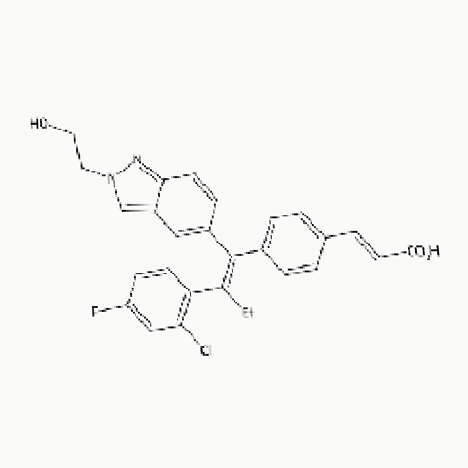 CCC(=C(c1ccc(C=CC(=O)O)cc1)c1ccc2nn(CCO)cc2c1)c1ccc(F)cc1Cl